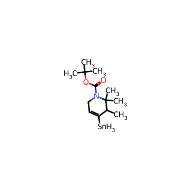 CC1[C]([SnH3])=CCN(C(=O)OC(C)(C)C)C1(C)C